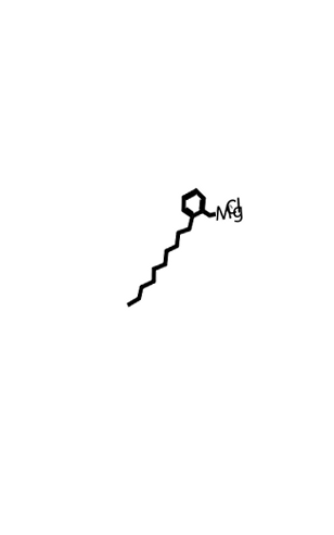 CCCCCCCCCCc1ccccc1[CH2][Mg][Cl]